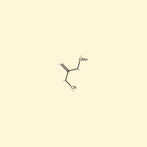 C=C(CC#N)COC